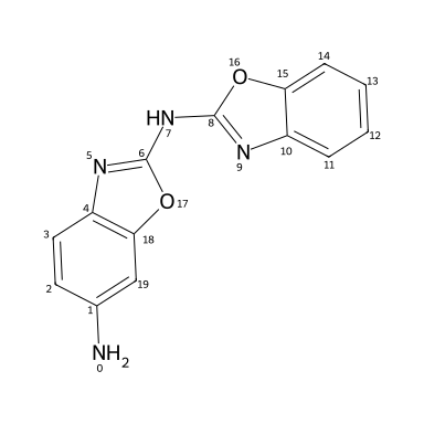 Nc1ccc2nc(Nc3nc4ccccc4o3)oc2c1